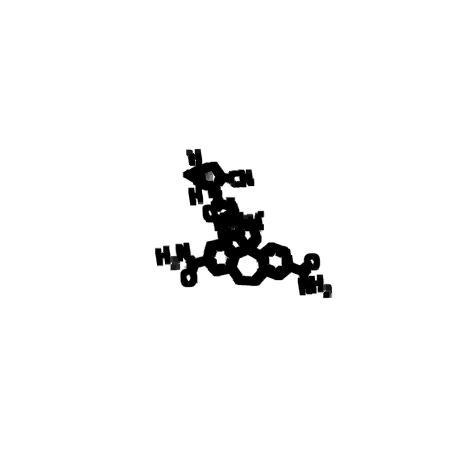 Cc1nnc(C2(C[C@@H](C)NCC(=O)N3C(C#N)C[C@@H]4C[C@@H]43)c3ccc(C(N)=O)cc3CCc3cc(C(N)=O)ccc32)[nH]1